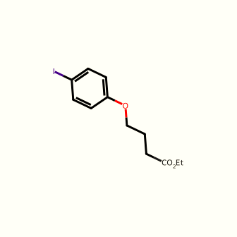 CCOC(=O)CCCOc1ccc(I)cc1